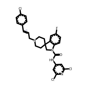 O=C(Nc1cc(Cl)nc(Cl)c1)N1CC2(CCN(C/C=C/c3ccc(Cl)cc3)CC2)c2cc(F)ccc21